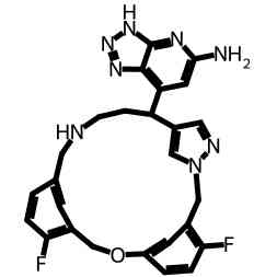 Nc1cc(C2CCNCc3ccc(F)c(c3)COc3ccc(F)c(c3)Cn3cc2cn3)c2nn[nH]c2n1